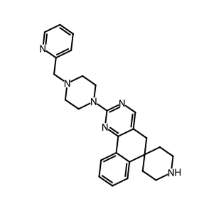 c1ccc(CN2CCN(c3ncc4c(n3)-c3ccccc3C3(CCNCC3)C4)CC2)nc1